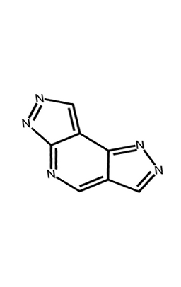 C1=NN=c2c1cnc1c2=CN=N1